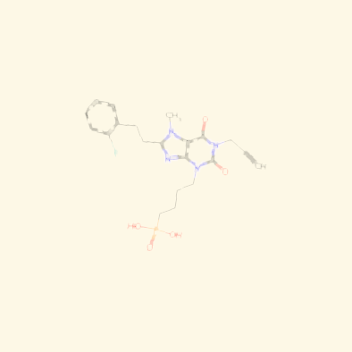 C#CCn1c(=O)c2c(nc(CCc3ccccc3F)n2C)n(CCCCP(=O)(O)O)c1=O